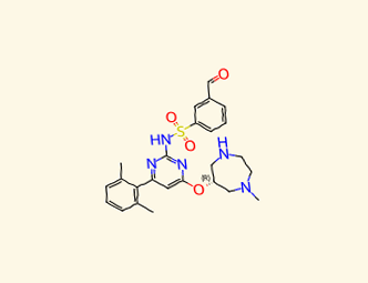 Cc1cccc(C)c1-c1cc(O[C@@H]2CNCCN(C)C2)nc(NS(=O)(=O)c2cccc(C=O)c2)n1